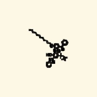 CCCCCCCCCCCCOc1ccc(C(=O)c2ccccc2)c(O)c1Cc1cc(C(C)(C)CC(C)(C)C)cc(-n2nc3ccccc3n2)c1O